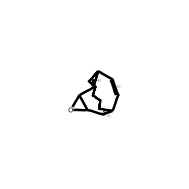 C1=C\C2=C\C3OC3/C=C/1CCCCC2